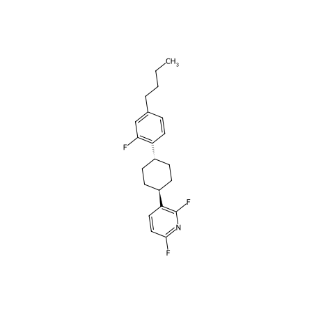 CCCCc1ccc([C@H]2CC[C@H](c3ccc(F)nc3F)CC2)c(F)c1